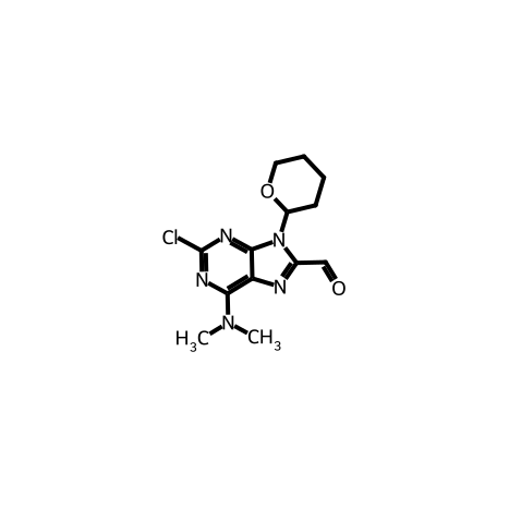 CN(C)c1nc(Cl)nc2c1nc(C=O)n2C1CCCCO1